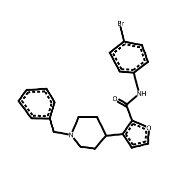 O=C(Nc1ccc(Br)cc1)c1occc1C1CCN(Cc2ccccc2)CC1